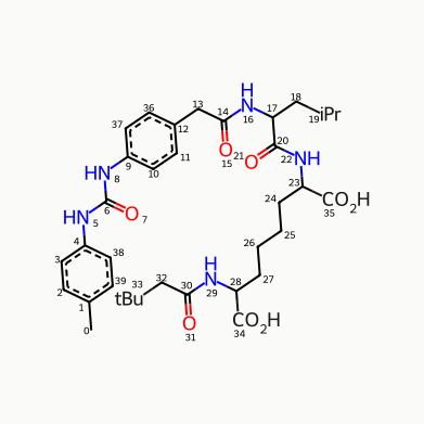 Cc1ccc(NC(=O)Nc2ccc(CC(=O)NC(CC(C)C)C(=O)NC(CCCCC(NC(=O)CC(C)(C)C)C(=O)O)C(=O)O)cc2)cc1